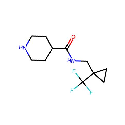 O=C(NCC1(C(F)(F)F)CC1)C1CCNCC1